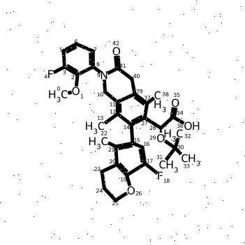 COc1c(F)cccc1N1Cc2c(C)c(-c3cc(F)c4c(c3C)CCCO4)c([C@@H](OC(C)(C)C)C(=O)O)c(C)c2CC1=O